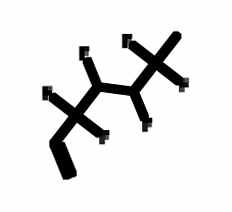 C=CC(F)(F)C(F)C(F)C(C)(F)F